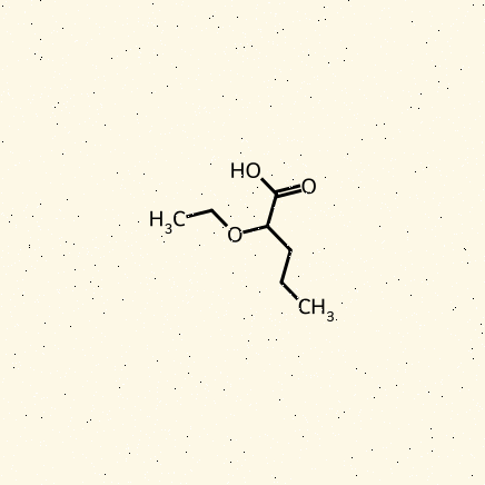 CCCC(OCC)C(=O)O